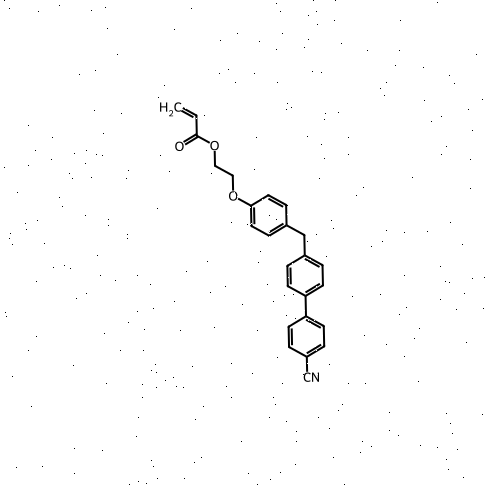 C=CC(=O)OCCOc1ccc(Cc2ccc(-c3ccc(C#N)cc3)cc2)cc1